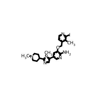 Cc1c(COc2cc(-c3cnc(C4CCN(C)CC4)n3C)cnc2N)ccnc1I